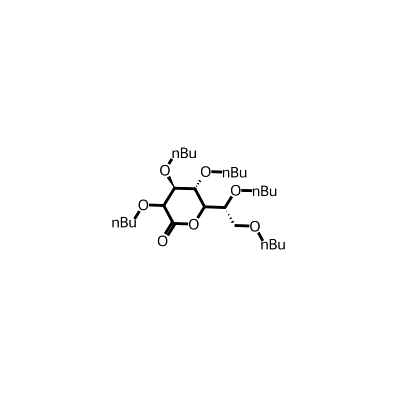 CCCCOC[C@@H](OCCCC)C1OC(=O)C(OCCCC)[C@@H](OCCCC)[C@@H]1OCCCC